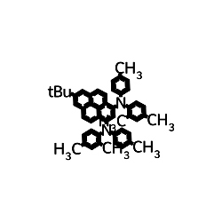 Cc1ccc(N(c2ccc(C)cc2C)c2cc(N(c3ccc(C)cc3)c3ccc(C)cc3C)c3ccc4cc(C(C)(C)C)cc5ccc2c3c54)cc1